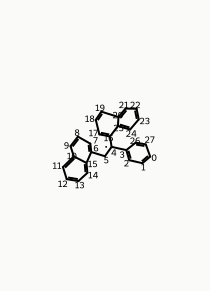 c1ccc([C](Cc2cccc3ccccc23)c2cccc3ccccc23)cc1